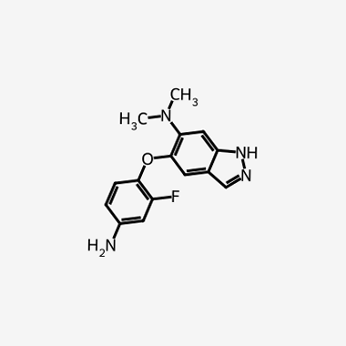 CN(C)c1cc2[nH]ncc2cc1Oc1ccc(N)cc1F